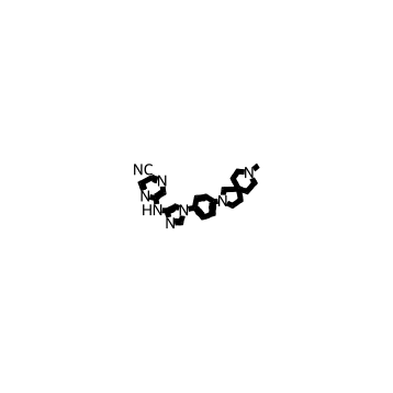 CN1CCC2(CC1)CCN(c1ccc(-n3cnc(Nc4cnc(C#N)cn4)c3)cc1)C2